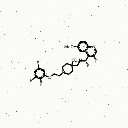 COc1ccc2ncc(F)c([C@@H](F)CCC3(C(=O)O)CCN(CCOc4cc(F)cc(F)c4F)CC3)c2c1